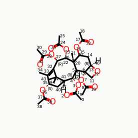 CC(=O)O[C@H]1[C@@H]2[C@]3(OC(C)=O)CO[C@@H]3C[C@H](OC(C)=O)[C@@]2(C)[C@@H](OC(C)=O)[C@H](OC(C)=O)C2=C(C)[C@@H](OC(C)=O)C[C@@H]1C2(C)C